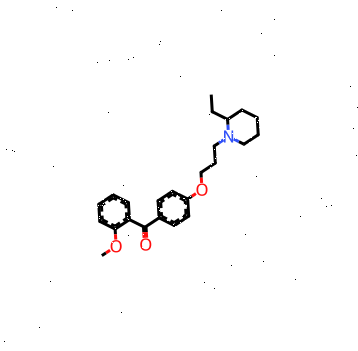 CCC1CCCCN1CCCOc1ccc(C(=O)c2ccccc2OC)cc1